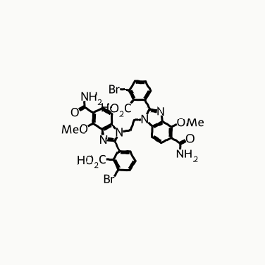 COc1c(C(N)=O)ccc2c1nc(-c1cccc(Br)c1C(=O)O)n2CCn1c(-c2cccc(Br)c2C(=O)O)nc2c(OC)c(C(N)=O)ccc21